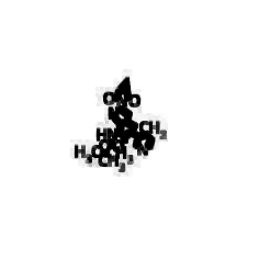 Cc1ccncc1-c1cc2cc(N3C(=O)C4CC4C3=O)ncc2c(NC(=O)OC(C)(C)C)c1F